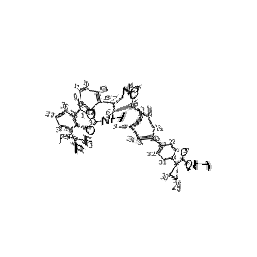 CC(OC(=O)Nc1c(-c2ccccc2)noc1-c1ccc(-c2ccc(C3(C(=O)O)CC3)cc2)cc1)c1cccc(C(F)(F)F)c1